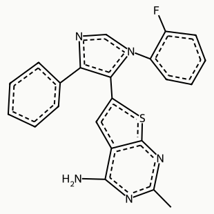 Cc1nc(N)c2cc(-c3c(-c4ccccc4)ncn3-c3ccccc3F)sc2n1